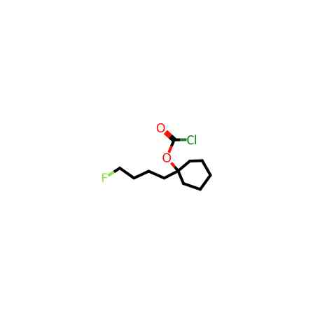 O=C(Cl)OC1(CCCCF)CCCCC1